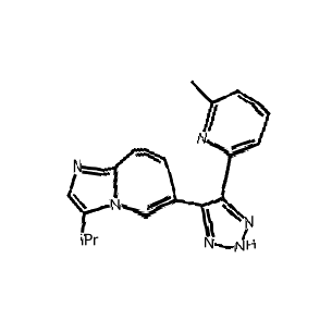 Cc1cccc(-c2n[nH]nc2-c2ccc3ncc(C(C)C)n3c2)n1